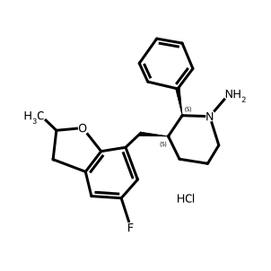 CC1Cc2cc(F)cc(C[C@@H]3CCCN(N)[C@@H]3c3ccccc3)c2O1.Cl